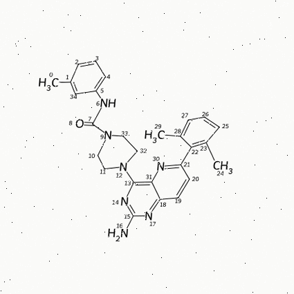 Cc1cccc(NC(=O)N2CCN(c3nc(N)nc4ccc(-c5c(C)cccc5C)nc34)CC2)c1